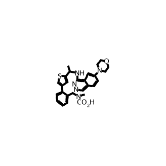 CC(Nc1nncc2ccc(N3CCOCC3)cc12)c1cc(-c2ccccc2CN(C)C(=O)O)cs1